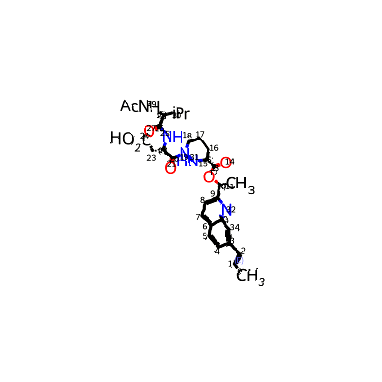 C/C=C/c1ccc2ccc([C@@H](C)OC(=O)[C@@H]3CCCN(C(=O)[C@H](CC(=O)O)NC(=O)[C@@H](NC(C)=O)C(C)C)N3)nc2c1